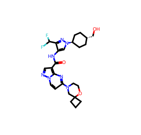 O=C(Nc1cn([C@H]2CC[C@H](CO)CC2)nc1C(F)F)c1cnn2ccc(N3CCOC4(CCC4)C3)nc12